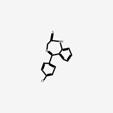 S=C1CN=C(c2ccc(Cl)cc2)c2ccccc2N1